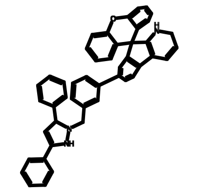 C1=CC2=C(NC1)C1(c3ccccc3Oc3ccccc31)c1cc(-c3cccc(CN4NC(c5ccccc5)=CC4c4ccccc4)c3)ccc12